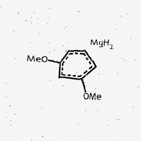 COc1[c]ccc(OC)c1.[MgH2]